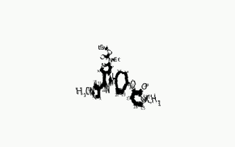 CCN(C(=O)OC(C)(C)C)c1cc2c(cn1)c(-c1cnn(C)c1)nn2[C@H]1CC[C@@H](Oc2cccn(C)c2=O)CC1